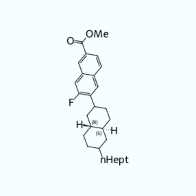 CCCCCCCC1CC[C@@H]2CC(c3cc4ccc(C(=O)OC)cc4cc3F)CC[C@H]2C1